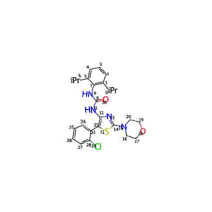 CC(C)c1cccc(C(C)C)c1NC(=O)Nc1nc(N2CCOCC2)sc1-c1ccccc1Cl